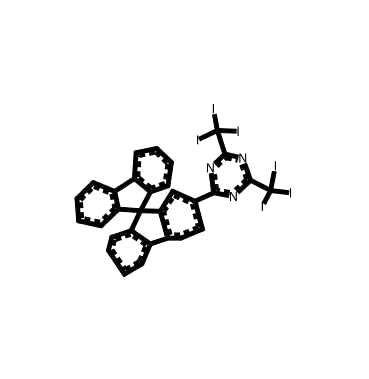 IC(I)(I)c1nc(-c2ccc3c(c2)C2(c4ccccc4-c4ccccc42)c2ccccc2-3)nc(C(I)(I)I)n1